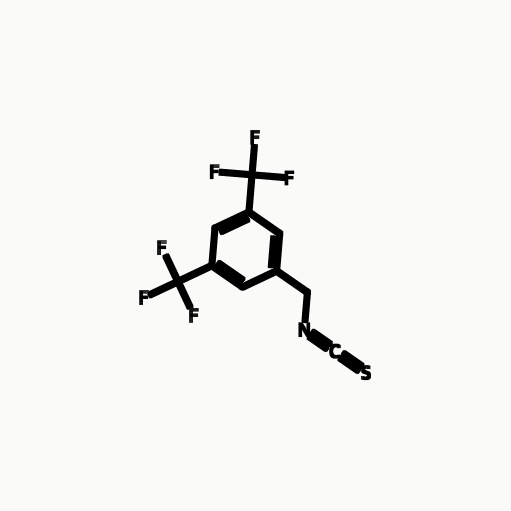 FC(F)(F)c1cc(CN=C=S)cc(C(F)(F)F)c1